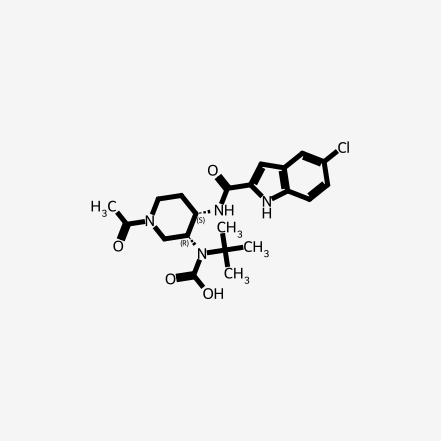 CC(=O)N1CC[C@H](NC(=O)c2cc3cc(Cl)ccc3[nH]2)[C@H](N(C(=O)O)C(C)(C)C)C1